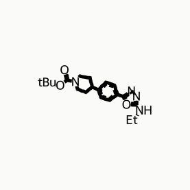 CCNc1nnc(-c2ccc(C3CCN(C(=O)OC(C)(C)C)CC3)cc2)o1